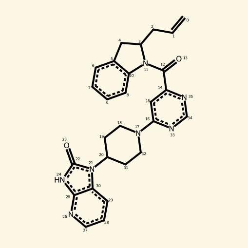 C=CCC1Cc2ccccc2N1C(=O)c1cc(N2CCC(n3c(=O)[nH]c4ncccc43)CC2)ncn1